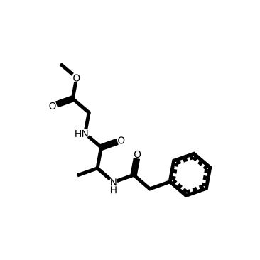 COC(=O)CNC(=O)C(C)NC(=O)Cc1ccccc1